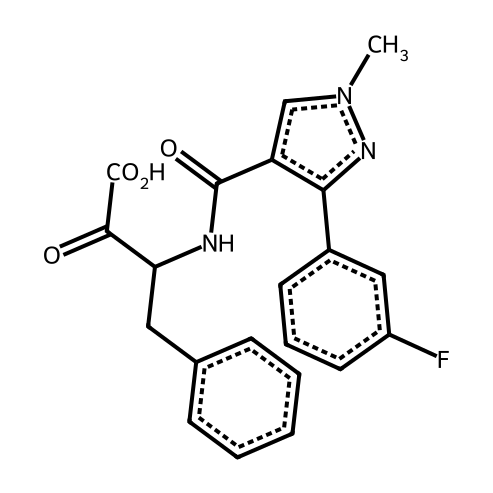 Cn1cc(C(=O)NC(Cc2ccccc2)C(=O)C(=O)O)c(-c2cccc(F)c2)n1